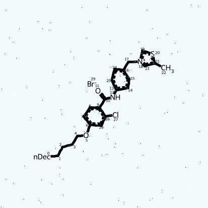 CCCCCCCCCCCCCCOc1ccc(C(=O)Nc2ccc(C[n+]3csc(C)c3)cc2)c(Cl)c1.[Br-]